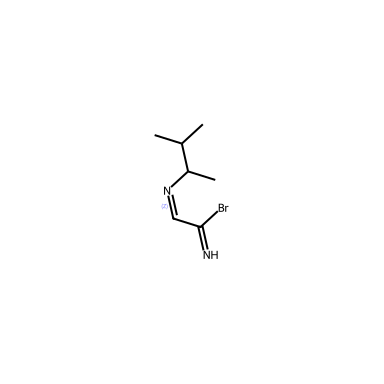 CC(C)C(C)/N=C\C(=N)Br